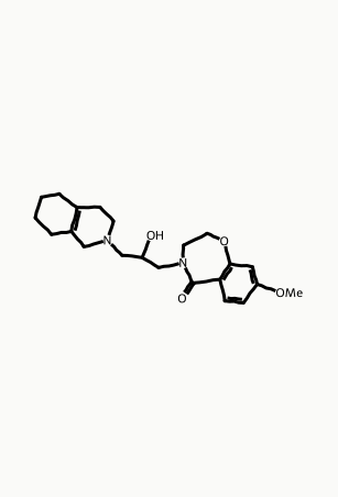 COc1ccc2c(c1)OCCN(CC(O)CN1CCC3=C(CCCC3)C1)C2=O